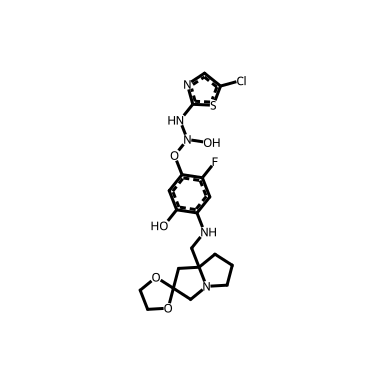 Oc1cc(ON(O)Nc2ncc(Cl)s2)c(F)cc1NCC12CCCN1CC1(C2)OCCO1